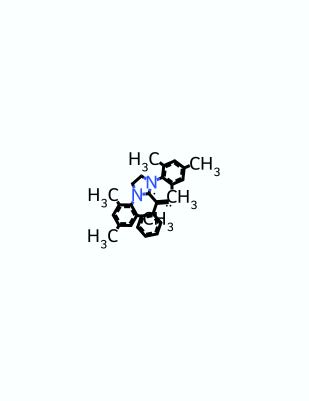 [C]=C([C]1N(c2c(C)cc(C)cc2C)CCN1c1c(C)cc(C)cc1C)c1ccccc1